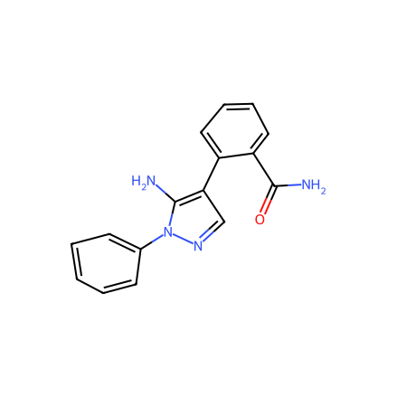 NC(=O)c1ccccc1-c1cnn(-c2ccccc2)c1N